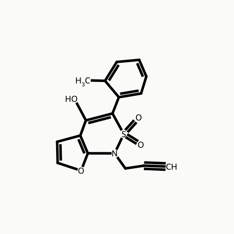 C#CCN1c2occc2C(O)=C(c2ccccc2C)S1(=O)=O